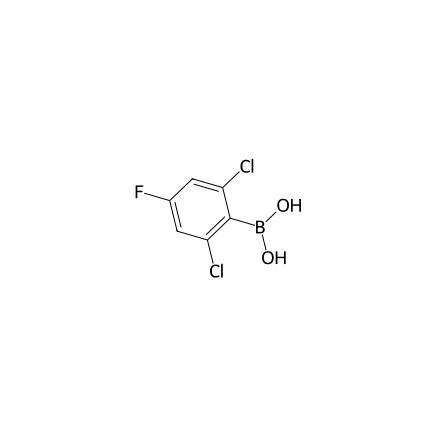 OB(O)c1c(Cl)cc(F)cc1Cl